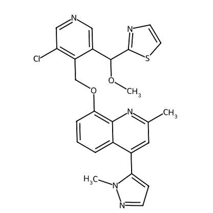 COC(c1nccs1)c1cncc(Cl)c1COc1cccc2c(-c3ccnn3C)cc(C)nc12